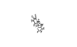 OC(F)(c1cc(F)c(F)c(F)c1F)c1c(F)c(F)c(F)c(F)c1F